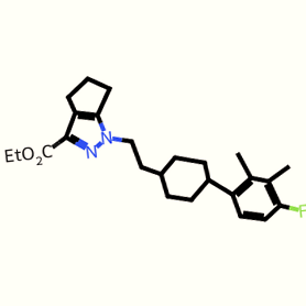 CCOC(=O)c1nn(CCC2CCC(c3ccc(F)c(C)c3C)CC2)c2c1CCC2